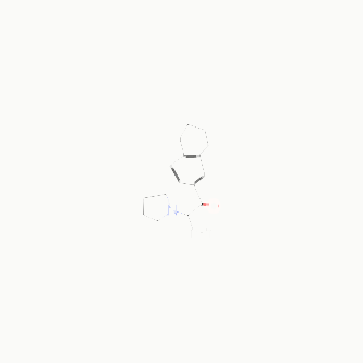 CCCC(C(=O)c1ccc2c(c1)CCCC2)N1CCCC1